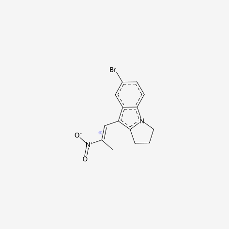 C/C(=C\c1c2n(c3ccc(Br)cc13)CCC2)[N+](=O)[O-]